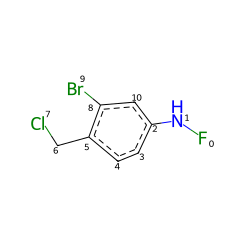 FNc1ccc(CCl)c(Br)c1